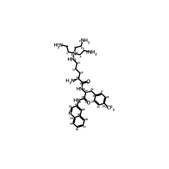 NCC[N+](CCN)(CCN)NCCC[C@H](N)C(=O)N[C@@H](Cc1ccc(C(F)(F)F)cc1)C(=O)Nc1cnc2ccccc2c1